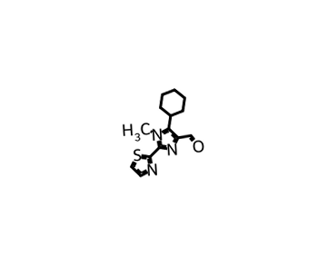 Cn1c(-c2nccs2)nc(C=O)c1C1CCCCC1